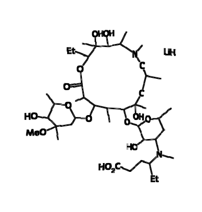 CCC(CCC(=O)O)N(C)C1CC(C)OC(OC2C(C)C(OC3CC(C)(OC)C(O)C(C)O3)C(C)C(=O)OC(CC)C(C)(O)C(O)C(C)N(C)CC(C)CC2(C)O)C1O.[LiH]